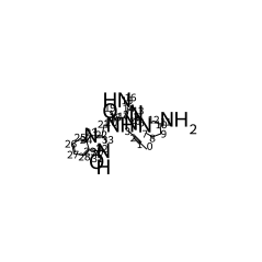 CC#CCn1c(N2CCCC(N)C2)nc(NC)c1C(=O)NCC1=Nc2ccccc2C(=O)NC1